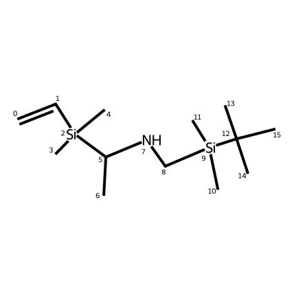 C=C[Si](C)(C)C(C)NC[Si](C)(C)C(C)(C)C